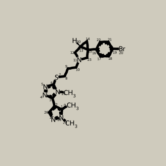 Cc1c(-c2nnc(SCCCN3C[C@@H]4CC4(c4ccc(Br)cc4)C3)n2C)cnn1C